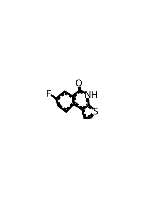 O=c1[nH]c2sccc2c2ccc(F)cc12